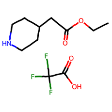 CCOC(=O)CC1CCNCC1.O=C(O)C(F)(F)F